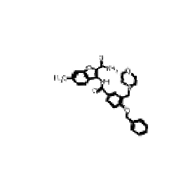 Cc1ccc2c(NC(=O)c3ccc(OCc4ccccc4)c(CN4CCOCC4)c3)c(C(N)=O)oc2c1